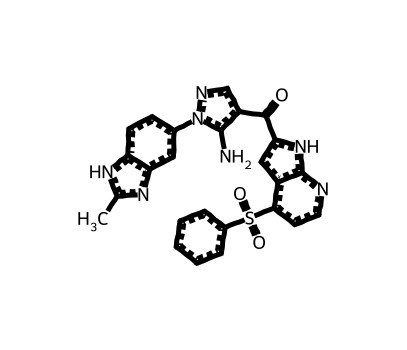 Cc1nc2cc(-n3ncc(C(=O)c4cc5c(S(=O)(=O)c6ccccc6)ccnc5[nH]4)c3N)ccc2[nH]1